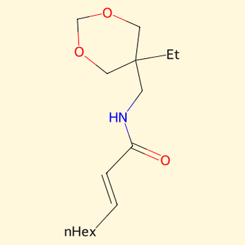 CCCCCCC=CC(=O)NCC1(CC)COCOC1